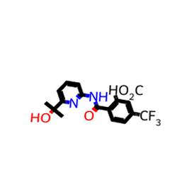 CC(C)(O)c1cccc(NC(=O)c2ccc(C(F)(F)F)cc2C(=O)O)n1